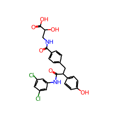 O=C(NCC(O)C(=O)O)c1ccc(CC(C(=O)Nc2cc(Cl)cc(Cl)c2)c2ccc(O)cc2)cc1